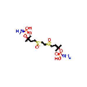 CC(C)(CC[S+]([O-])CC[S+]([O-])CCC(C)(C)OP(N)(=O)O)OP(N)(=O)O